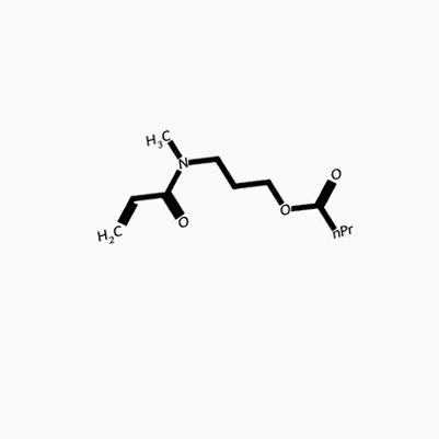 C=CC(=O)N(C)CCCOC(=O)CCC